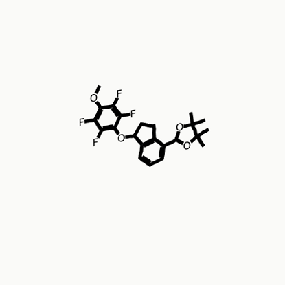 COc1c(F)c(F)c(OC2CCc3c2cccc3C2OC(C)(C)C(C)(C)O2)c(F)c1F